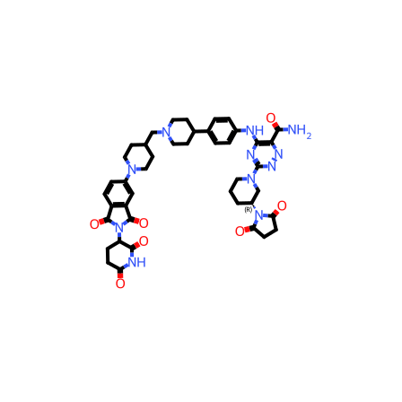 NC(=O)c1nnc(N2CCC[C@@H](N3C(=O)CCC3=O)C2)nc1Nc1ccc(C2CCN(CC3CCN(c4ccc5c(c4)C(=O)N(C4CCC(=O)NC4=O)C5=O)CC3)CC2)cc1